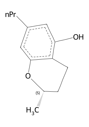 CCCc1cc(O)c2c(c1)O[C@@H](C)CC2